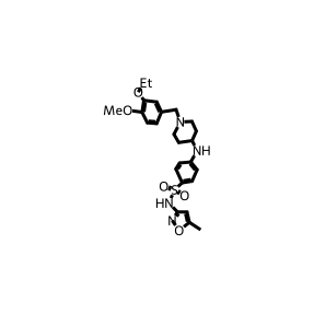 CCOc1cc(CN2CCC(Nc3ccc(S(=O)(=O)Nc4cc(C)on4)cc3)CC2)ccc1OC